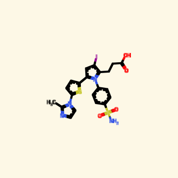 Cc1nccn1-c1ccc(-c2cc(I)c(CCC(=O)O)n2-c2ccc(S(N)(=O)=O)cc2)s1